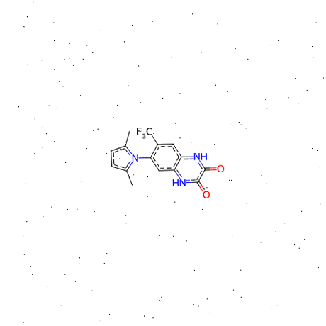 Cc1ccc(C)n1-c1cc2[nH]c(=O)c(=O)[nH]c2cc1C(F)(F)F